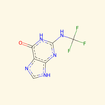 O=c1[nH]c(NC(F)(F)F)nc2[nH]cnc12